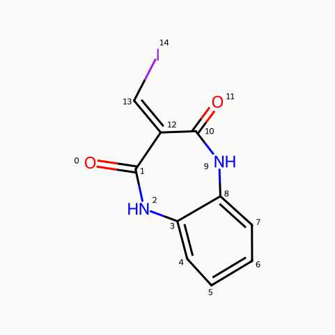 O=C1Nc2ccccc2NC(=O)C1=CI